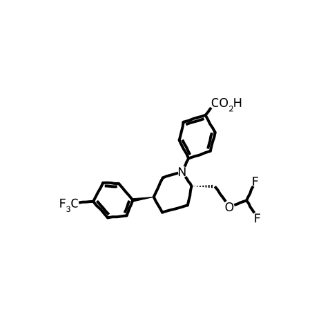 O=C(O)c1ccc(N2C[C@H](c3ccc(C(F)(F)F)cc3)CC[C@H]2COC(F)F)cc1